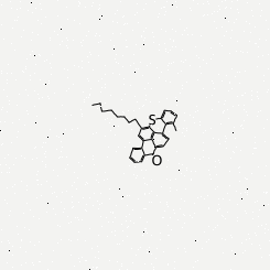 CCCCCCCCc1cc2c3ccccc3c(=O)c3ccc4c5c(C)cccc5sc1c4c32